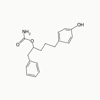 NC(=O)OC(CCCc1ccc(O)cc1)Cc1ccccc1